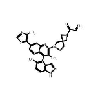 C=CC(=O)N1CC2(CCN(c3nc4cc(-c5scnc5C)ccc4c(-c4c(C)ccc5[nH]ncc45)c3C)C2)C1